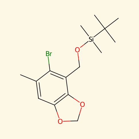 Cc1cc2c(c(CO[Si](C)(C)C(C)(C)C)c1Br)OCO2